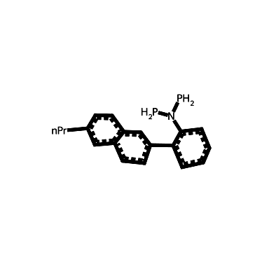 CCCc1ccc2cc(-c3ccccc3N(P)P)ccc2c1